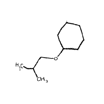 CC(C)COC1C[CH]CCC1